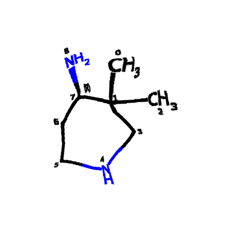 CC1(C)CNCC[C@H]1N